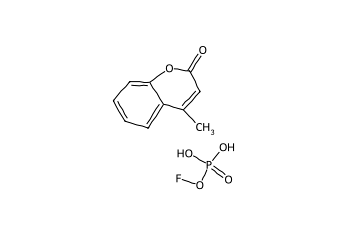 Cc1cc(=O)oc2ccccc12.O=P(O)(O)OF